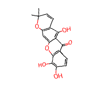 CC1(C)C=Cc2c(cc3oc4c(O)c(O)ccc4c(=O)c3c2O)O1